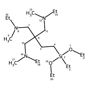 CCO[Si](CC)(CCC(CN(C)CC)(CN(C)CC)CN(C)CC)OCC